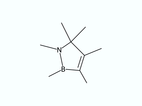 CB1C(C)=C(C)C(C)(C)N1C